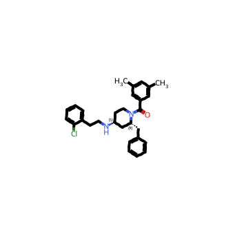 Cc1cc(C)cc(C(=O)N2CC[C@H](NCCc3ccccc3Cl)C[C@H]2Cc2ccccc2)c1